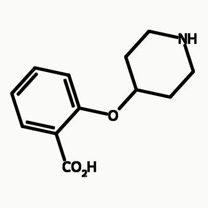 O=C(O)c1ccccc1OC1CCNCC1